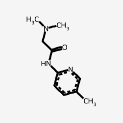 Cc1ccc(NC(=O)CN(C)C)nc1